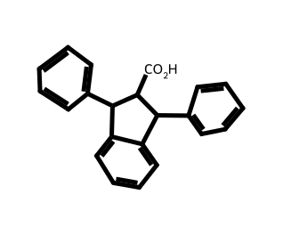 O=C(O)C1C(c2ccccc2)c2ccccc2C1c1ccccc1